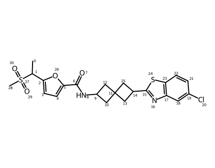 CC(c1ccc(C(=O)NC2CC3(C2)CC(c2nc4cc(Cl)ccc4s2)C3)o1)S(C)(=O)=O